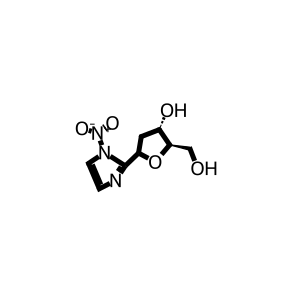 O=[N+]([O-])n1ccnc1C1C[C@H](O)[C@@H](CO)O1